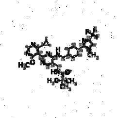 COc1ncnc(C2CC2)c1-c1ncc(CN[S+]([O-])C(C)(C)C)c(NCc2ccc(-c3nc(C(F)(F)F)cn3C)cc2)n1